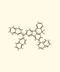 CC1(C)c2ccccc2-n2c3ccc(N(c4ccc5ccccc5c4)c4ccc5ccccc5c4)cc3c3cc(-c4cccc5ccccc45)cc1c32